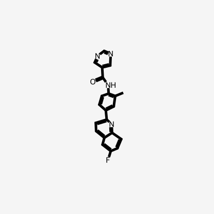 Cc1cc(-c2ccc3cc(F)ccc3n2)ccc1NC(=O)c1cncnc1